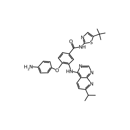 CC(C)c1ccc2c(Nc3cc(C(=O)Nc4ncc(C(C)(C)C)s4)ccc3Oc3ccc(N)cc3)ncnc2n1